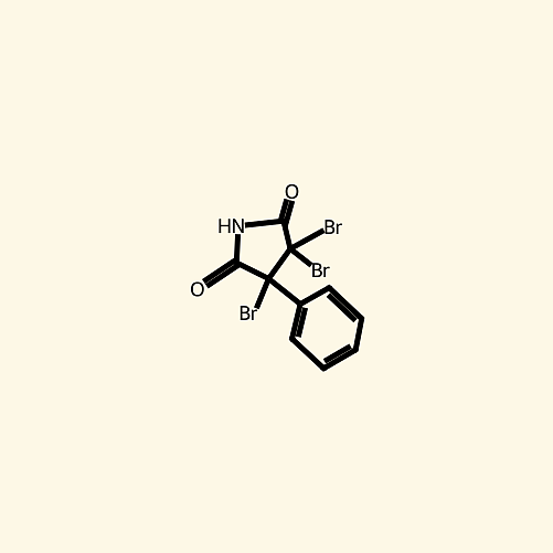 O=C1NC(=O)C(Br)(c2ccccc2)C1(Br)Br